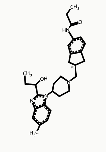 CCC(=O)Nc1ccc2c(c1)C[C@H](CN1CCC(n3c(C(O)CC)nc4cc(C)ccc43)CC1)C2